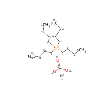 CCCC[P+](CCCC)(CCCC)CCCC.O=C([O-])[O-].[H+]